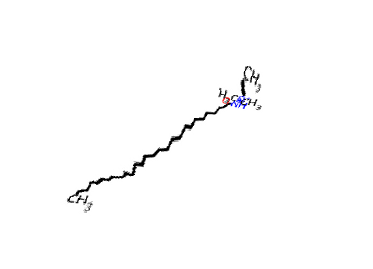 CCCCCCCCCCCCCCCCCCCCCCCCCCCC(=O)N[N+](C)(C)CCC